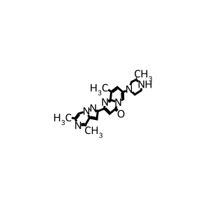 Cc1cn2nc(-c3cc(=O)n4cc(N5CCN[C@@H](C)C5)cc(C)c4n3)cc2c(C)n1